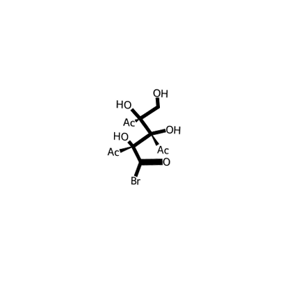 CC(=O)[C@](O)(C(=O)Br)[C@](O)(C(C)=O)[C@@](O)(CO)C(C)=O